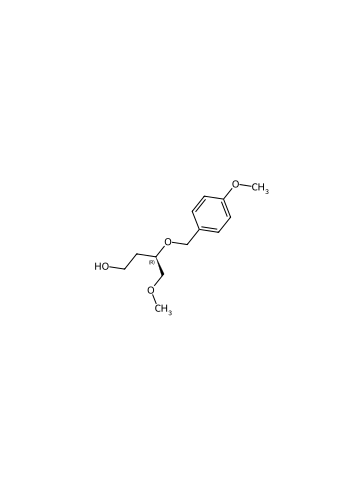 COC[C@@H](CCO)OCc1ccc(OC)cc1